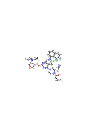 C=CC(=O)N1CCN(c2nc(OC[C@H]3COC[C@@H]3N(C)C)nc3c2CCN(c2cccc4ccc(F)c(Cl)c24)C3)C[C@@H]1CC#N